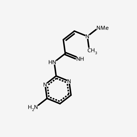 CNN(C)/C=C\C(=N)Nc1nccc(N)n1